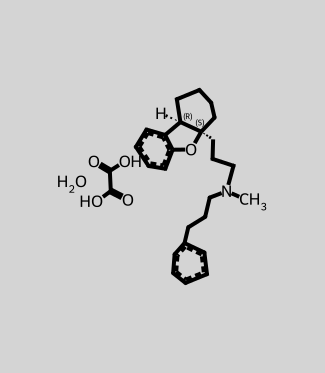 CN(CCCc1ccccc1)CCC[C@@]12CCCC[C@@H]1c1ccccc1O2.O.O=C(O)C(=O)O